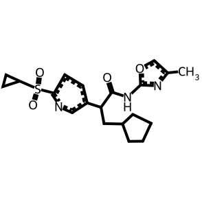 Cc1coc(NC(=O)C(CC2CCCC2)c2ccc(S(=O)(=O)C3CC3)nc2)n1